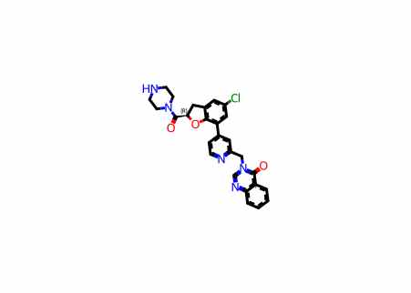 O=C([C@H]1Cc2cc(Cl)cc(-c3ccnc(Cn4cnc5ccccc5c4=O)c3)c2O1)N1CCNCC1